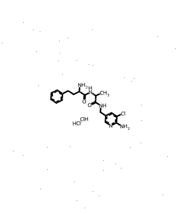 CC(NC(=O)C(N)CCc1ccccc1)C(=O)NCc1cnc(N)c(Cl)c1.Cl.Cl